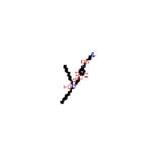 CCCCCCCCC(O)CN(CCCC(=O)Oc1c(OC)cc(/C=C/C(=O)OCCCN(C)C)cc1OC)CC(O)CCCCCCCC